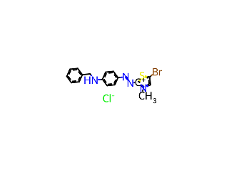 Cn1cc(Br)s[c+]1N=Nc1ccc(NCc2ccccc2)cc1.[Cl-]